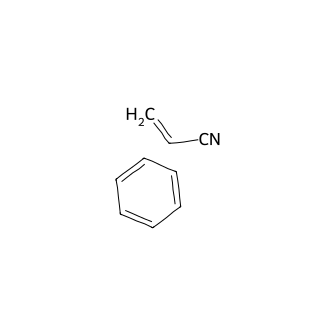 C=CC#N.c1ccccc1